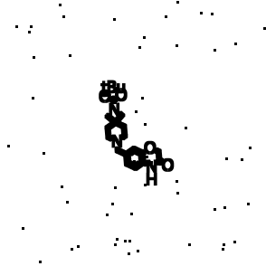 CC(C)(C)OC(=O)N1CC2(CCN(Cc3ccc4c(c3)OCC(=O)N4)CC2)C1